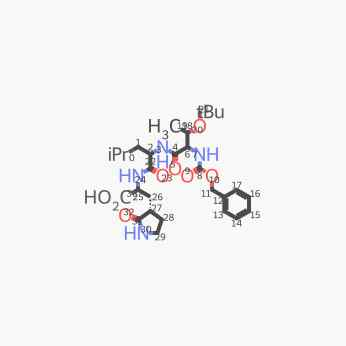 CC(C)CC(NC(=O)C(NC(=O)OCc1ccccc1)C(C)OC(C)(C)C)C(=O)NC(C[C@@H]1CCNC1=O)C(=O)O